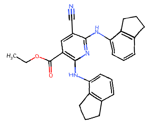 CCOC(=O)c1cc(C#N)c(Nc2cccc3c2CCC3)nc1Nc1cccc2c1CCC2